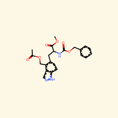 COC(=O)C(Cc1ccc2[nH]ncc2c1COC(C)=O)NC(=O)OCc1ccccc1